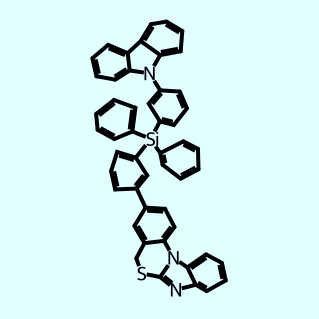 c1ccc([Si](c2ccccc2)(c2cccc(-c3ccc4c(c3)CSc3nc5ccccc5n3-4)c2)c2cccc(-n3c4ccccc4c4ccccc43)c2)cc1